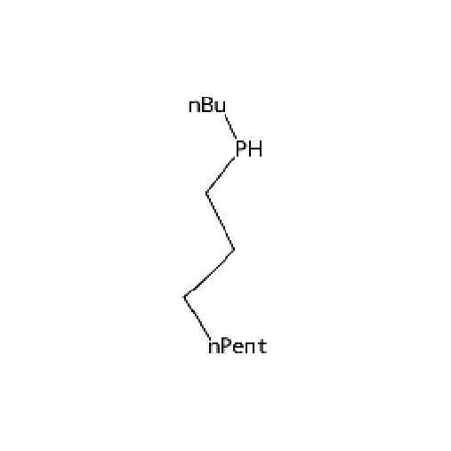 CCCCCCCCPCCCC